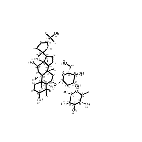 C[C@@H]1O[C@@H](O[C@@H]2[C@H](O[C@H]3C[C@]4(C)[C@H](C[C@@H](O)[C@@H]5[C@@H]([C@]6(C)CC[C@H](C(C)(C)O)O6)CC[C@]54C)[C@@]4(C)CC[C@H](O)C(C)(C)[C@H]34)O[C@H](CO)[C@@H](O)[C@@H]2O)[C@H](O)[C@H](O)[C@H]1O